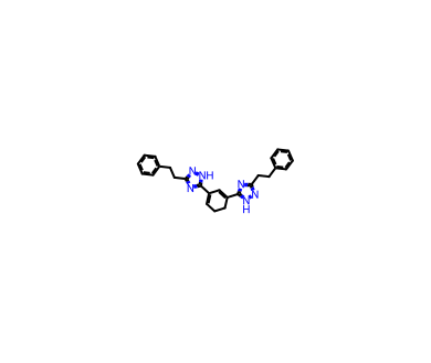 C1=C(c2nc(CCc3ccccc3)n[nH]2)C=C(c2nc(CCc3ccccc3)n[nH]2)CC1